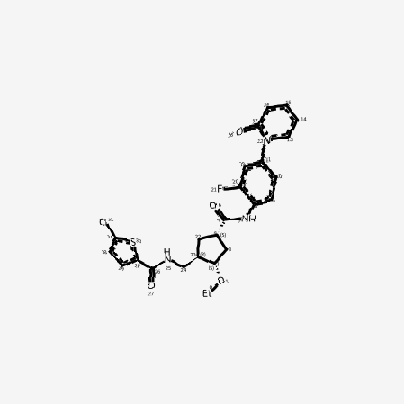 CCO[C@H]1C[C@@H](C(=O)Nc2ccc(-n3ccccc3=O)cc2F)C[C@@H]1CNC(=O)c1ccc(Cl)s1